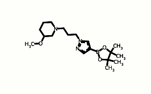 COC1CCCN(CCCn2cc(B3OC(C)(C)C(C)(C)O3)cn2)C1